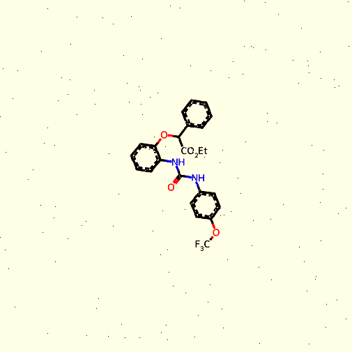 CCOC(=O)C(Oc1ccccc1NC(=O)Nc1ccc(OC(F)(F)F)cc1)c1ccccc1